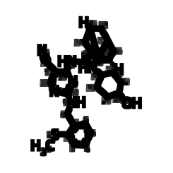 CSc1ccccc1CNc1ncc(C#N)c(NC[C@]23CC4C[C@H](C2)[C@@H](NC2CCC(O)CC2)[C@@H](C4)C3)n1